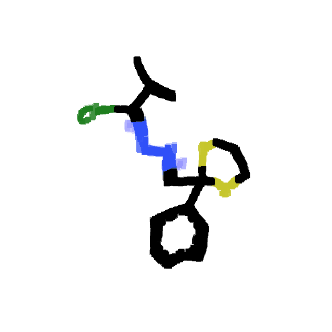 C=C(C)/C(Cl)=N\N=C\C1(c2ccccc2)SCCS1